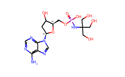 Nc1ncnc2c1ncn2[C@H]1CC(O)[C@@H](COP(=O)(O)NC(CO)(CO)CO)O1